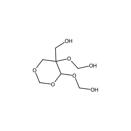 OCOC1OCOCC1(CO)OCO